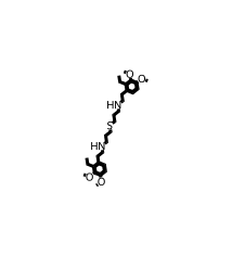 CCc1c(CCNCCCSCCCNCCc2ccc(OC)c(OC)c2CC)ccc(OC)c1OC